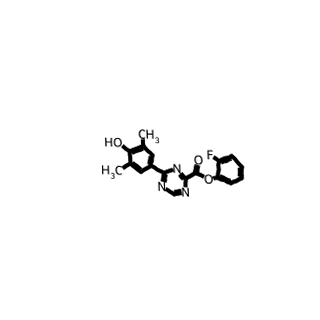 Cc1cc(-c2ncnc(C(=O)Oc3ccccc3F)n2)cc(C)c1O